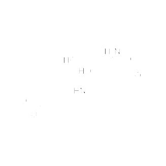 COc1ccc(C(O)CNC(C)CCc2ccc3c(c2)OCO3)cc1C(N)=O.Cl